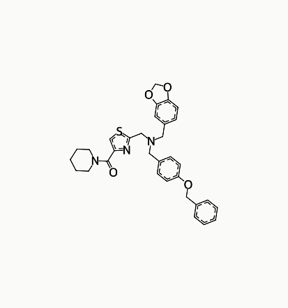 O=C(c1csc(CN(Cc2ccc(OCc3ccccc3)cc2)Cc2ccc3c(c2)OCO3)n1)N1CCCCC1